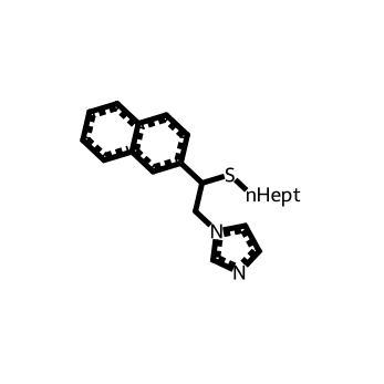 CCCCCCCSC(Cn1ccnc1)c1ccc2ccccc2c1